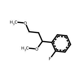 COCCC(OC)c1ccccc1F